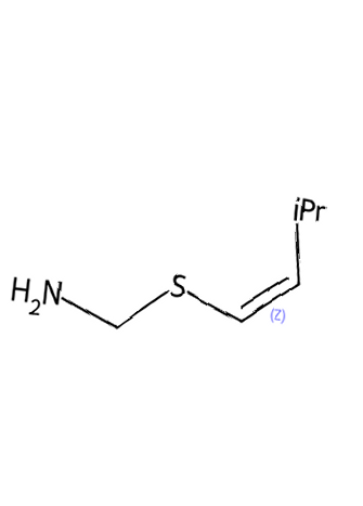 CC(C)/C=C\SCN